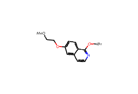 CCC(C)Oc1nccc2cc(OCCOC)ccc12